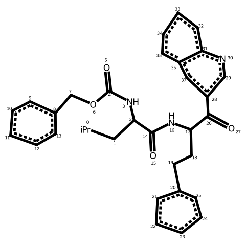 CC(C)CC(NC(=O)OCc1ccccc1)C(=O)NC(CCc1ccccc1)C(=O)c1cnc2ccccc2c1